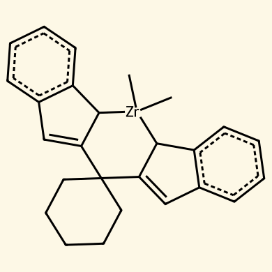 [CH3][Zr]1([CH3])[CH]2C(=Cc3ccccc32)C2(CCCCC2)C2=Cc3ccccc3[CH]21